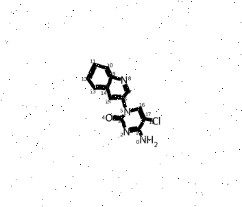 Nc1nc(=O)n(-c2cnc3ccccc3c2)cc1Cl